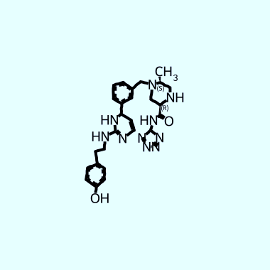 C[C@H]1CN[C@@H](C(=O)NC2N=NN=N2)CN1Cc1cccc(C2C=CN=C(NCCc3ccc(O)cc3)N2)c1